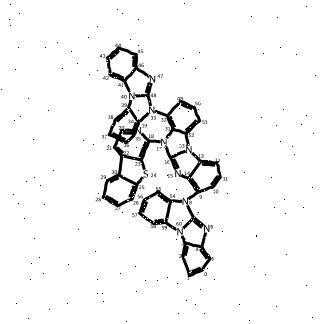 c1ccc2c(c1)nc1n(-c3cccc4c3nc3n(-c5nccc6c5sc5ccccc56)c5c(-n6c7ccccc7n7c8ccccc8nc67)cccc5n43)c3ccccc3n21